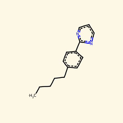 [CH2]CCCCc1ccc(-c2ncccn2)cc1